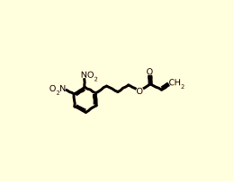 C=CC(=O)OCCCc1cccc([N+](=O)[O-])c1[N+](=O)[O-]